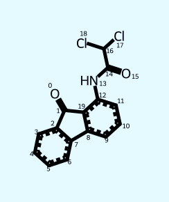 O=C1c2ccccc2-c2cccc(NC(=O)C(Cl)Cl)c21